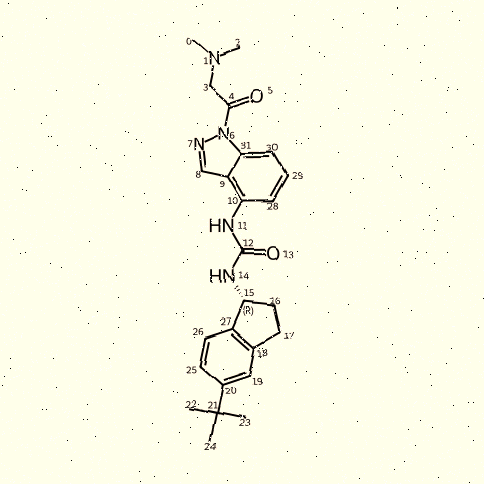 CN(C)CC(=O)n1ncc2c(NC(=O)N[C@@H]3CCc4cc(C(C)(C)C)ccc43)cccc21